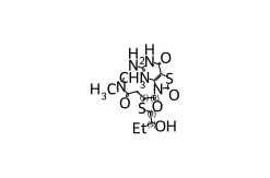 CC[C@H](O)[C@@H]1O[C@@H](n2c(=O)sc3c(=O)[nH]c(N)nc32)[C@H](CC(=O)N(C)C)S1